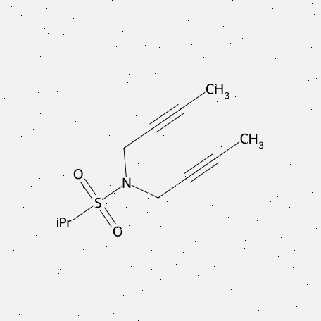 CC#CCN(CC#CC)S(=O)(=O)C(C)C